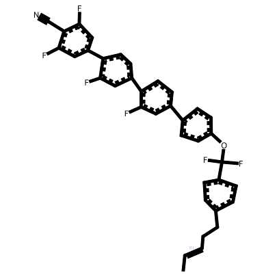 C/C=C/CCc1ccc(C(F)(F)Oc2ccc(-c3ccc(-c4ccc(-c5cc(F)c(C#N)c(F)c5)c(F)c4)c(F)c3)cc2)cc1